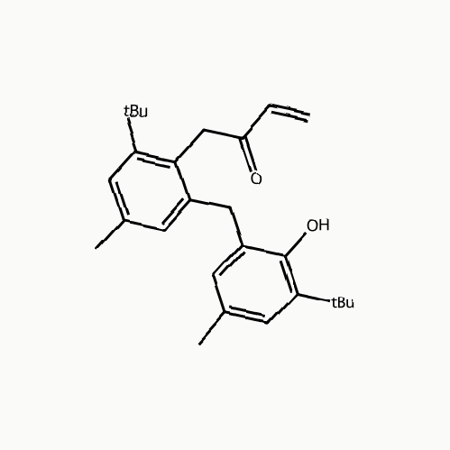 C=CC(=O)Cc1c(Cc2cc(C)cc(C(C)(C)C)c2O)cc(C)cc1C(C)(C)C